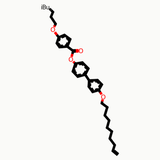 C=CCCCCCCCCOc1ccc(-c2ccc(OC(=O)c3ccc(OCCCC(C)CC)cc3)cc2)cc1